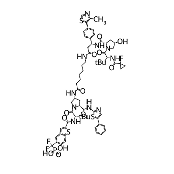 Cc1ncsc1-c1ccc([C@H](CC(=O)NCCCCCCC(=O)N[C@@H]2C[C@@H](C(=O)Nc3ncc(-c4ccccc4)s3)N(C(=O)[C@@H](NC(=O)c3cc4cc(C(F)(F)P(=O)(O)O)ccc4s3)C(C)(C)C)C2)NC(=O)[C@@H]2C[C@@H](O)CN2C(=O)[C@@H](NC(=O)C2(F)CC2)C(C)(C)C)cc1